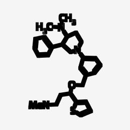 CNCCC(OCc1cccc(N2CCC(N(C)C)C(c3ccccc3)C2)c1)c1cccs1